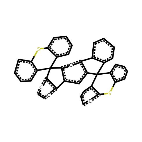 c1ccc2c(c1)Sc1ccccc1C21c2ccccc2-c2cc3c(cc21)-c1ccccc1C31c2ccccc2Sc2ccccc21